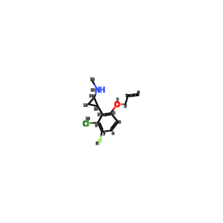 C=CCOc1ccc(F)c(Cl)c1C1CC1NC